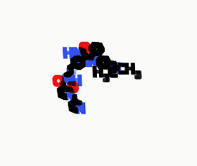 CN(C)Cc1ccc(NC(=C2C(=O)Nc3cc(/C=C/CNC(=O)c4cccn(Cc5cccnc5)c4=O)ccc32)c2ccccc2)cc1